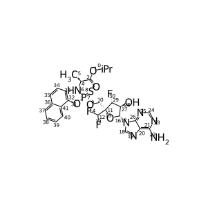 CC(C)OC(=O)[C@H](C)NP(=S)(OC[C@@]1(C(F)F)O[C@@H](n2cnc3c(N)ncnc32)[C@H](O)[C@H]1F)Oc1cccc2ccccc12